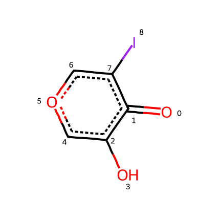 O=c1c(O)cocc1I